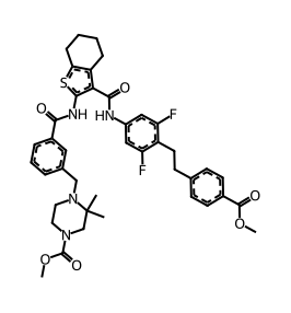 COC(=O)c1ccc(CCc2c(F)cc(NC(=O)c3c(NC(=O)c4cccc(CN5CCN(C(=O)OC)CC5(C)C)c4)sc4c3CCCC4)cc2F)cc1